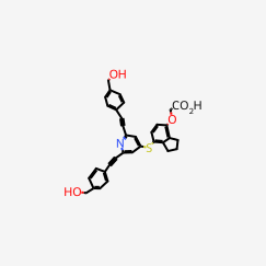 O=C(O)COc1ccc(Sc2cc(C#Cc3ccc(CO)cc3)nc(C#Cc3ccc(CO)cc3)c2)c2c1CCC2